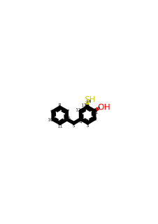 Oc1ccc(Cc2ccccc2)cc1S